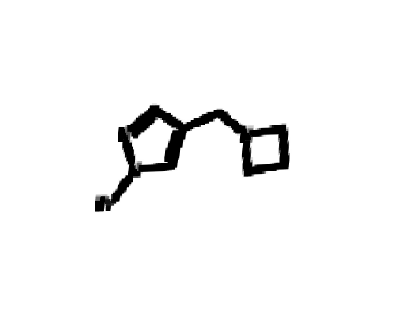 CC(C)n1cc(CN2CCC2)cn1